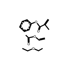 C=C(C)C(=O)Oc1ccccc1.C=COC(C)=O.CCOCC